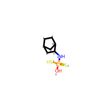 OP(=S)(S)NC1CC2CCC1C2